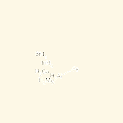 [AlH2][Fe].[BiH3].[GaH3].[InH3].[MgH2]